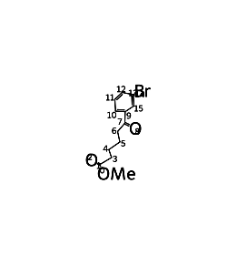 COC(=O)CCCCC(=O)c1cccc(Br)c1